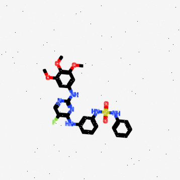 COc1cc(Nc2ncc(F)c(Nc3cccc(NS(=O)(=O)Nc4ccccc4)c3)n2)cc(OC)c1OC